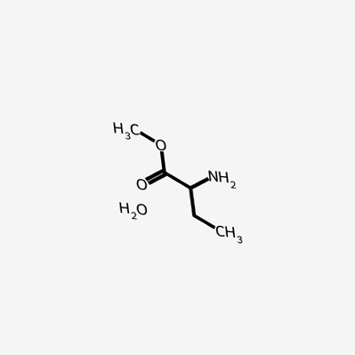 CCC(N)C(=O)OC.O